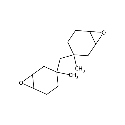 CC1(CC2(C)CCC3OC3C2)CCC2OC2C1